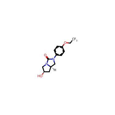 O=C1N(c2ccc(OCC(F)(F)F)cc2)C[C@H]2C[C@@H](O)CN12